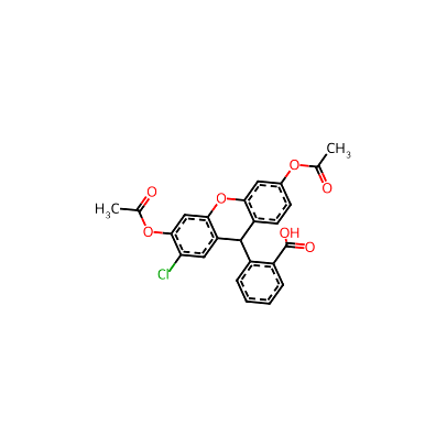 CC(=O)Oc1ccc2c(c1)Oc1cc(OC(C)=O)c(Cl)cc1C2c1ccccc1C(=O)O